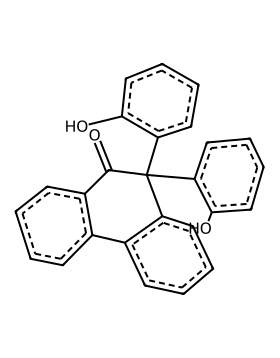 O=C1c2ccccc2-c2ccccc2C1(c1ccccc1O)c1ccccc1O